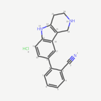 Cl.N#Cc1ccccc1-c1ccc2[nH]c3c(c2c1)CNCC3